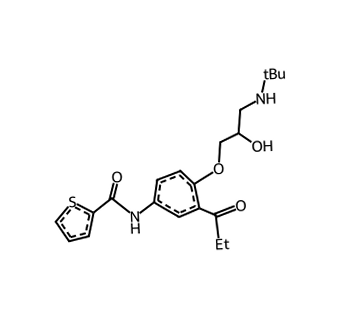 CCC(=O)c1cc(NC(=O)c2cccs2)ccc1OCC(O)CNC(C)(C)C